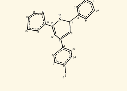 Ic1ccc(C2=CC(c3ccccc3)SC(c3ccccc3)=C2)cc1